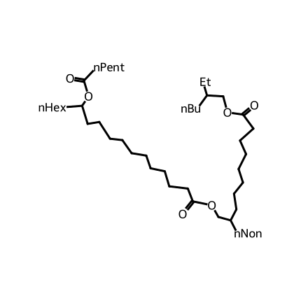 CCCCCCCCCC(CCCCCCCC(=O)OCC(CC)CCCC)COC(=O)CCCCCCCCCCC(CCCCCC)OC(=O)CCCCC